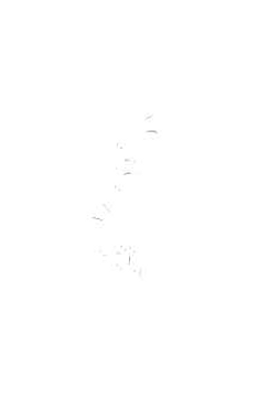 Cc1sccc1CCN(C)c1nnc(NCc2cc(CCN(C)c3nnc(N)[nH]3)cs2)[nH]1